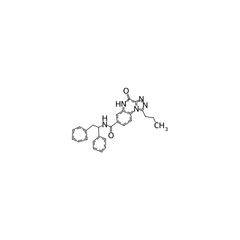 CCCc1nnc2c(=O)[nH]c3cc(C(=O)NC(Cc4ccccc4)c4ccccc4)ccc3n12